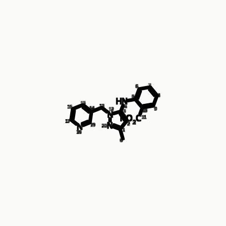 Cc1cc(Nc2ccccc2C(=O)O)n(Cc2cccnc2)n1